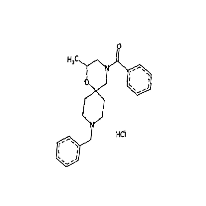 CC1CN(C(=O)c2ccccc2)CC2(CCN(Cc3ccccc3)CC2)O1.Cl